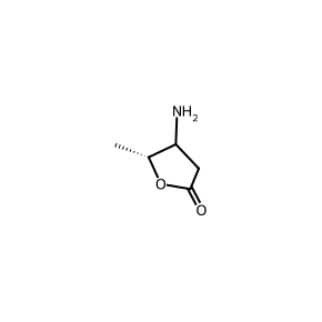 C[C@H]1OC(=O)CC1N